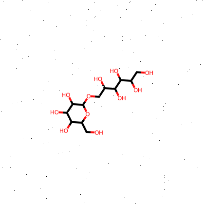 OCC(O)C(O)C(O)C(O)COC1OC(CO)C(O)C(O)C1O